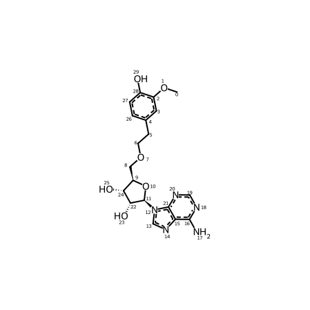 COc1cc(CCOC[C@H]2O[C@@H](n3cnc4c(N)ncnc43)[C@H](O)[C@@H]2O)ccc1O